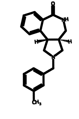 Cc1cccc(CN2C[C@@H]3CNC(=O)c4ccccc4[C@H]3C2)c1